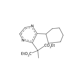 CCOC(=O)C(C)(C(=O)OCC)c1nccnc1C1CCCCC1